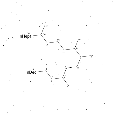 [CH2]C(CCC(C)CCCCCCCCCCCC)C(C)CCCC(C)CCCCCCC